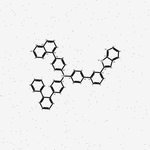 c1ccc(-c2ccccc2-c2ccc(N(c3ccc(-c4cccc(-c5cc6ccccc6o5)c4)cc3)c3ccc(-c4cccc5ccccc45)cc3)cc2)cc1